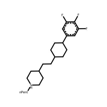 CCCCC[SiH]1CCC(CCC2CCC(c3cc(F)c(F)c(F)c3)CC2)CC1